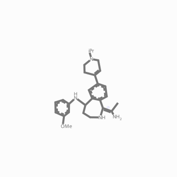 COc1cccc(NC2CCN/C(=C(/C)N)c3ccc(C4=CCN(C(C)C)CC4)cc32)c1